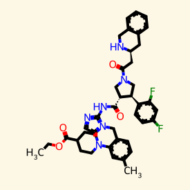 CCOC(=O)C1CCN(c2cc(C)ccc2Cn2ccnc2NC(=O)[C@@H]2CN(C(=O)C[C@@H]3Cc4ccccc4CN3)C[C@H]2c2ccc(F)cc2F)CC1